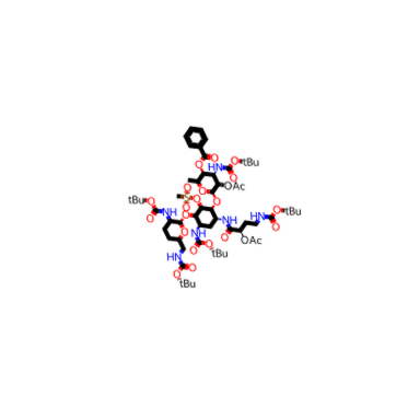 CC(=O)OC1[C@@H](O[C@@H]2C(OS(C)(=O)=O)C(O[C@H]3OC(CNC(=O)OC(C)(C)C)CCC3NC(=O)OC(C)(C)C)[C@H](NC(=O)OC(C)(C)C)C[C@H]2NC(=O)[C@H](CCNC(=O)OC(C)(C)C)OC(C)=O)OC(C)[C@@H](OC(=O)c2ccccc2)[C@@H]1NC(=O)OC(C)(C)C